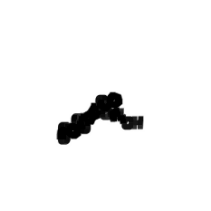 O=C([C@@H](OC1CN(CCO)C1)c1ccccc1)N1CC2=C(C1)CN(S(=O)(=O)c1ccc3c(c1)OCCO3)C2